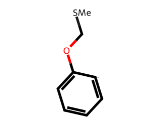 CSCOc1[c]cccc1